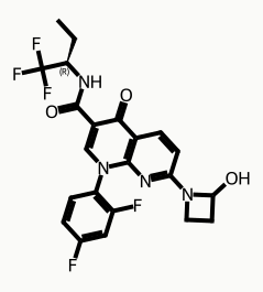 CC[C@@H](NC(=O)c1cn(-c2ccc(F)cc2F)c2nc(N3CCC3O)ccc2c1=O)C(F)(F)F